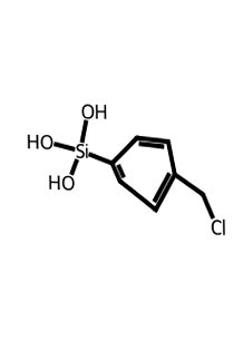 O[Si](O)(O)c1ccc(CCl)cc1